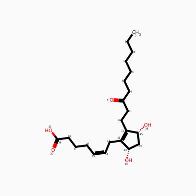 CCCCCCCC(=O)CCC1=C(C/C=C\CCCC(=O)O)[C@@H](O)C[C@H]1O